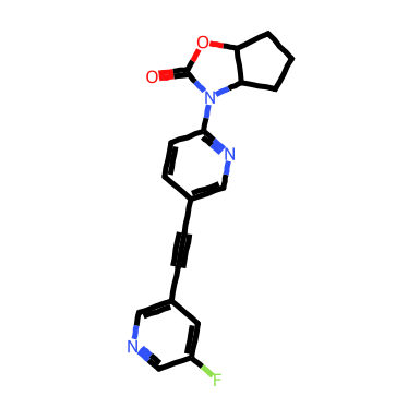 O=C1OC2CCCC2N1c1ccc(C#Cc2cncc(F)c2)cn1